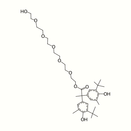 Cc1cc(C(C)(C(=O)OCCOCCOCCOCCOCCOCCO)c2cc(C)c(O)c(C(C)(C)C)c2)cc(C(C)(C)C)c1O